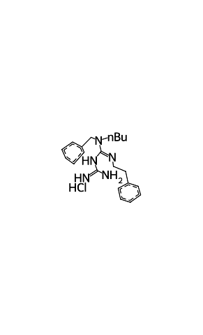 CCCCN(Cc1ccccc1)C(=NCCc1ccccc1)NC(=N)N.Cl